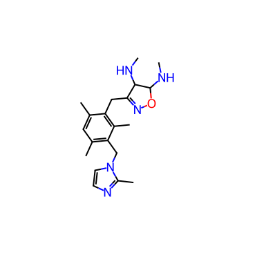 CNC1ON=C(Cc2c(C)cc(C)c(Cn3ccnc3C)c2C)C1NC